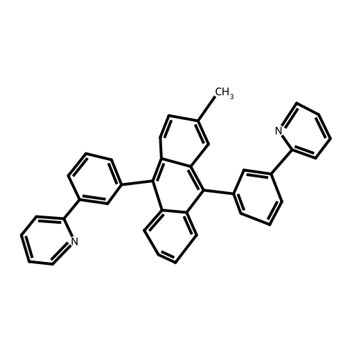 Cc1ccc2c(-c3cccc(-c4ccccn4)c3)c3ccccc3c(-c3cccc(-c4ccccn4)c3)c2c1